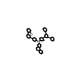 c1ccc(-c2cc(-c3ccccc3)cc(-c3ccc(N(c4ccc(-c5cccc6c5oc5ccccc56)cc4)c4ccc5c(ccc6ccccc65)c4)cc3)c2)cc1